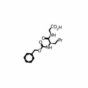 CC(C)C[C@@H](NC(=O)OCc1ccccc1)C(=O)NCC(=O)O